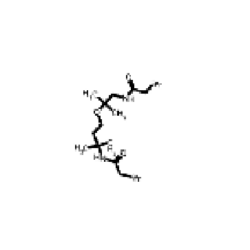 CC(C)CC(=O)NCC(C)(C)OCCC(C)(C)NC(=O)CC(C)C